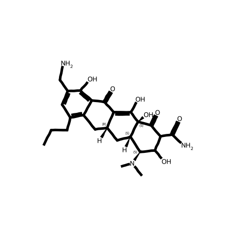 CCCc1cc(CN)c(O)c2c1C[C@H]1C[C@H]3[C@H](N(C)C)C(O)C(C(N)=O)C(=O)[C@@]3(O)C(O)=C1C2=O